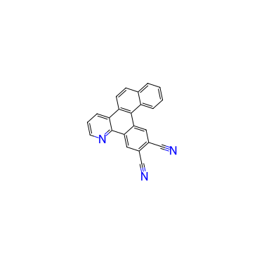 N#Cc1cc2c(cc1C#N)c1c3ccccc3ccc1c1cccnc12